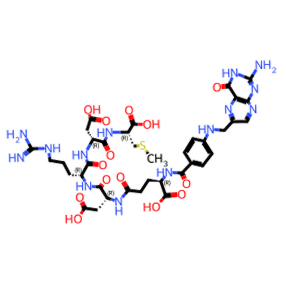 CSC[C@H](NC(=O)[C@@H](CC(=O)O)NC(=O)[C@@H](CCCNC(=N)N)NC(=O)[C@@H](CC(=O)O)NC(=O)CC[C@@H](NC(=O)c1ccc(NCc2cnc3nc(N)[nH]c(=O)c3n2)cc1)C(=O)O)C(=O)O